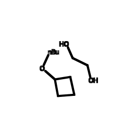 CCCCOC1CCC1.OCCO